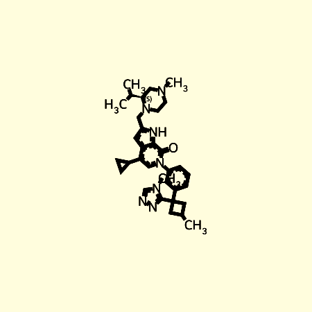 CC1CC(c2cccc(-n3cc(C4CC4)c4cc(CN5CCN(C)C[C@@H]5C(C)C)[nH]c4c3=O)c2)(c2nncn2C)C1